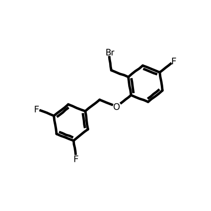 Fc1cc(F)cc(COc2ccc(F)cc2CBr)c1